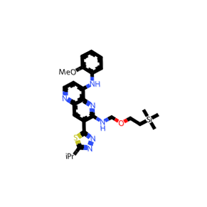 COc1ccccc1Nc1ccnc2cc(-c3nnc(C(C)C)s3)c(NCOCC[Si](C)(C)C)nc12